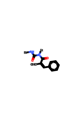 CCNC(=O)N(CC)C(=O)C([C]=O)=Cc1ccccc1